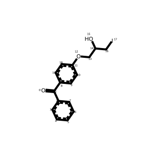 O=C(c1ccccc1)c1ccc(OCC(O)CI)cc1